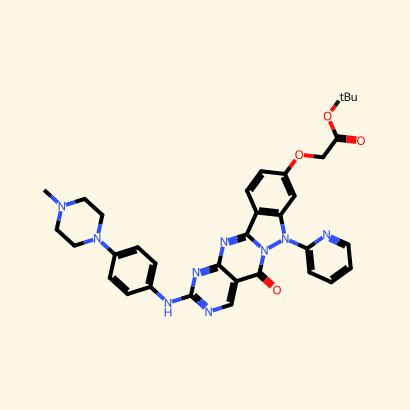 CN1CCN(c2ccc(Nc3ncc4c(=O)n5c(nc4n3)c3ccc(OCC(=O)OC(C)(C)C)cc3n5-c3ccccn3)cc2)CC1